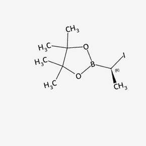 C[C@H](I)B1OC(C)(C)C(C)(C)O1